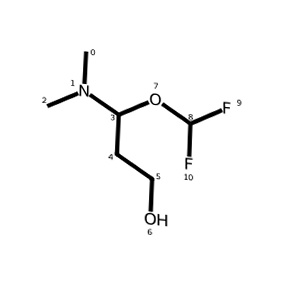 CN(C)C(CCO)OC(F)F